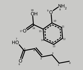 CCCC=CC(=O)O.NOc1ccccc1C(=O)O